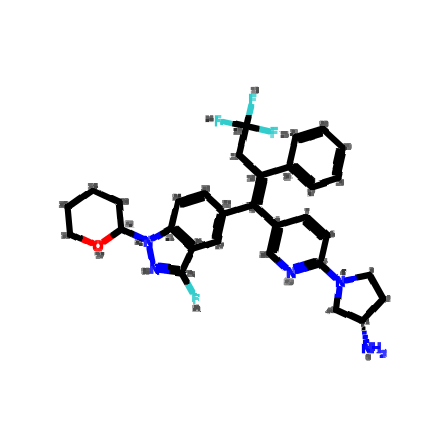 N[C@H]1CCN(c2ccc(/C(=C(/CC(F)(F)F)c3ccccc3)c3ccc4c(c3)c(F)nn4C3CCCCO3)cn2)C1